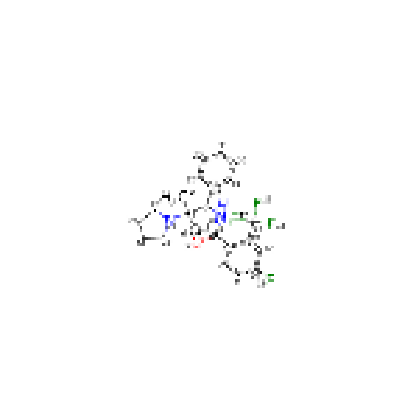 CC(C)(C(NC(=O)c1ccc(F)cc1C(F)(F)F)c1ccccc1)N1CCCC1